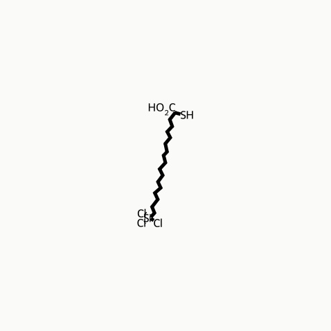 O=C(O)C(S)CCCCCCCCCCCCCCCC[Si](Cl)(Cl)Cl